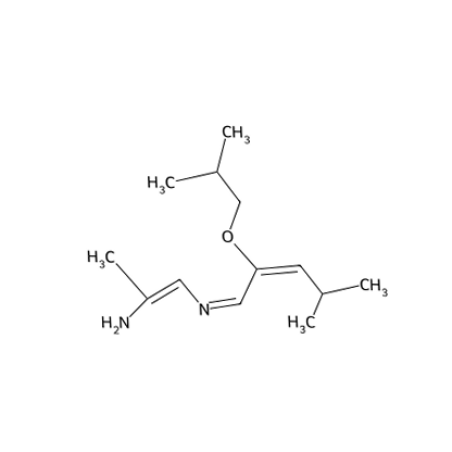 C/C(N)=C/N=C\C(=C/C(C)C)OCC(C)C